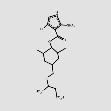 CC(=O)Nc1[nH]cc(C(C)C)c1C(=O)OC1C(C)CC(CSC(CC(=O)O)C(=O)O)CC1C